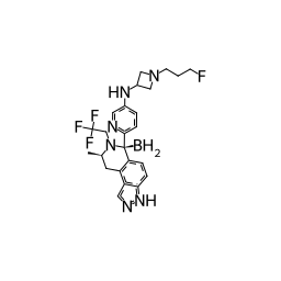 B[C@@]1(c2ccc(NC3CN(CCCF)C3)cn2)c2ccc3[nH]ncc3c2C[C@@H](C)N1CC(F)(F)F